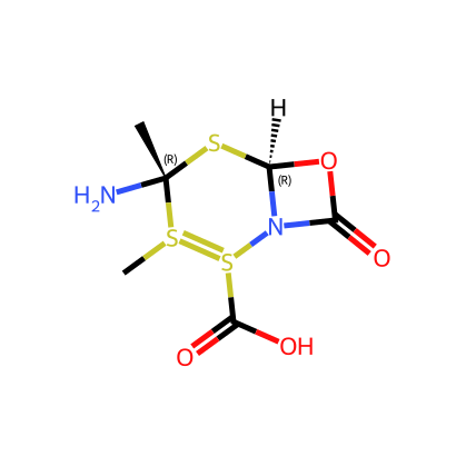 CS1=S(C(=O)O)N2C(=O)O[C@@H]2S[C@@]1(C)N